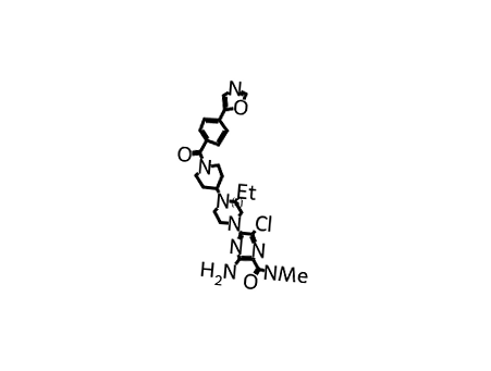 CC[C@H]1CN(c2nc(N)c(C(=O)NC)nc2Cl)CCN1C1CCN(C(=O)c2ccc(-c3cnco3)cc2)CC1